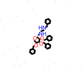 c1ccc(CNCCNC[C@H]2OC[C@H](OCc3ccccc3)[C@@H](OCc3ccccc3)[C@@H]2OCc2ccccc2)cc1